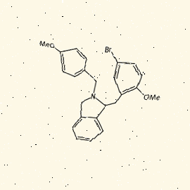 COc1ccc(CN2Cc3ccccc3C2Cc2cc(Br)ccc2OC)cc1